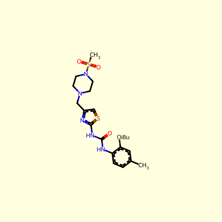 Cc1ccc(NC(=O)Nc2nc(CN3CCN(S(C)(=O)=O)CC3)cs2)c(OCC(C)C)c1